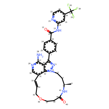 C[C@@H]1CCn2nc(-c3ccc(C(=O)Nc4cc(C(F)(F)F)ccn4)cc3)c3c(N)ncc(c32)/C=C/COCCC(=O)N1